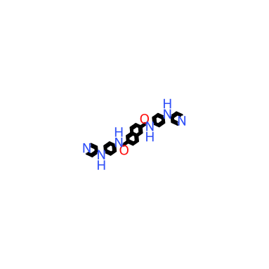 O=C(Nc1ccc(Nc2ccncc2)cc1)c1ccc2cc(C(=O)Nc3ccc(Nc4ccncc4)cc3)ccc2c1